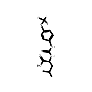 CC(C)CC(NC(=O)Nc1ccc(SC(F)(F)F)cc1)C(=O)O